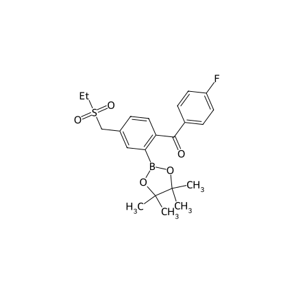 CCS(=O)(=O)Cc1ccc(C(=O)c2ccc(F)cc2)c(B2OC(C)(C)C(C)(C)O2)c1